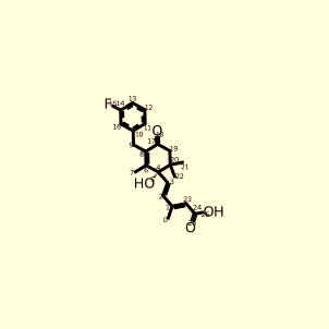 CC(C=C[C@@]1(O)C(C)=C(Cc2cccc(F)c2)C(=O)CC1(C)C)=CC(=O)O